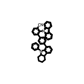 N#Cc1cccc(-c2ccc(-c3cccc4c3N(c3ccccc3)C3CCCCC43)cc2)c1-n1c2ccccc2c2ccccc21